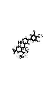 Cc1cc(C2=CCNC(C(=O)C3NCC4(CC4)CC3C(=O)NO)C2)cc(C)c1C#N